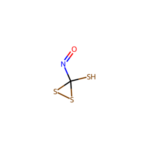 O=NC1(S)SS1